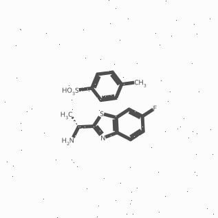 C[C@@H](N)c1nc2ccc(F)cc2s1.Cc1ccc(S(=O)(=O)O)cc1